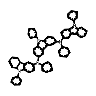 C1=CC2c3cc(N(c4ccccc4)c4ccc5c(c4)c4cc(N(c6ccccc6)c6ccc7c(c6)c6ccccc6n7-c6ccccc6)ccc4n5-c4ccccc4)ccc3N(c3ccccc3)C2C=C1